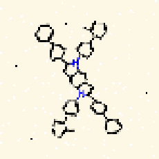 Cc1ccccc1-c1ccc(-n2c(-c3ccc(-c4ccccc4)cc3)cc3cc4c(cc(-c5ccc(-c6ccccc6)cc5)n4-c4ccc(-c5ccccc5C)cc4)cc32)cc1